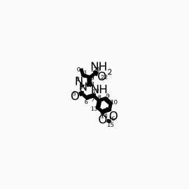 Cc1nn2c(=O)cc(-c3ccc4c(c3)OCO4)[nH]c2c1C(N)=O